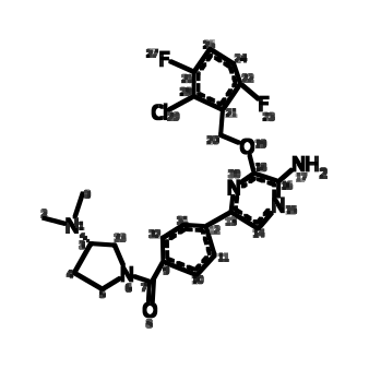 CN(C)[C@H]1CCN(C(=O)c2ccc(-c3cnc(N)c(OCc4c(F)ccc(F)c4Cl)n3)cc2)C1